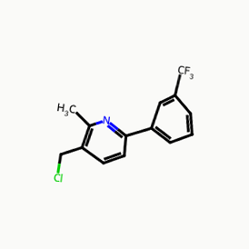 Cc1nc(-c2cccc(C(F)(F)F)c2)ccc1CCl